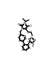 CCCc1c(Cl)n(C(C)C)c(=O)n1Cc1ccc(-c2ccccc2-c2nnn[nH]2)cn1